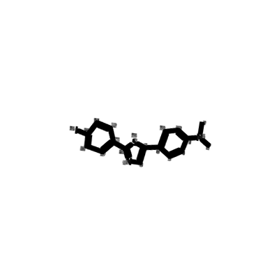 CN(C)c1ccc(-c2cnc(-c3ccc(I)cc3)s2)cc1